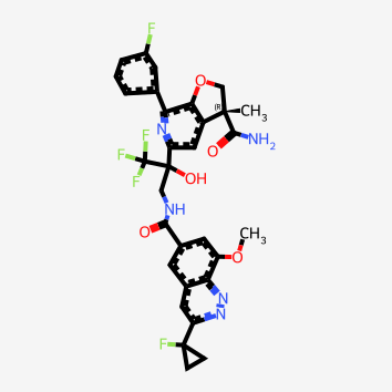 COc1cc(C(=O)NCC(O)(c2cc3c(c(-c4cccc(F)c4)n2)OC[C@]3(C)C(N)=O)C(F)(F)F)cc2cc(C3(F)CC3)nnc12